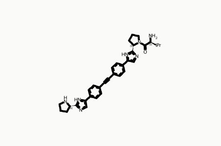 CC(C)[C@H](N)C(=O)N1CCC[C@H]1c1ncc(-c2ccc(C#Cc3ccc(-c4cnc([C@@H]5CCCN5)[nH]4)cc3)cc2)[nH]1